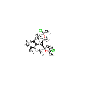 BB(B)B(B)B(B(B)B)B1C([Si](C)(C)O[Si](C)(C)Cl)C1[Si](C)(C)O[Si](C)(C)Cl